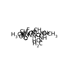 C=CC(=O)Nc1cc(Nc2ncc(F)c(Nc3ccccc3S(=O)(=O)C(C)C)n2)c(OC)cc1N1CCN(CC)CC1